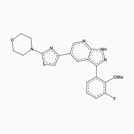 COc1c(F)cccc1-c1n[nH]c2ncc(-c3csc(N4CCOCC4)n3)cc12